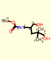 CC(C)(CO)CC(C#[N+]C(=O)OC(C)(C)C)CO